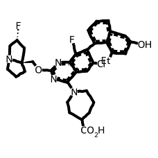 CCc1cc(O)cc2cccc(-c3c(Cl)cc4c(N5CCCC(C(=O)O)CC5)nc(OC[C@@]56CCCN5C[C@H](F)C6)nc4c3F)c12